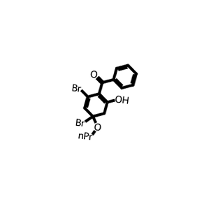 CCCOC1(Br)C=C(Br)C(C(=O)c2ccccc2)=C(O)C1